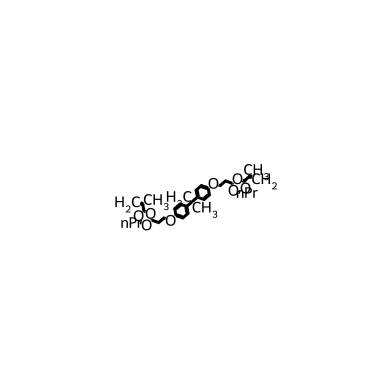 C=C(C)C(=O)OC(CCOc1ccc(C(C)(C)c2ccc(OCCC(OCCC)OC(=O)C(=C)C)cc2)cc1)OCCC